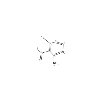 C=C(C)c1c(I)ccnc1N